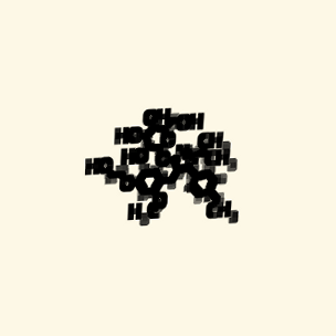 CCc1ccc(-c2c(Cc3ccc(OCCO)cc3OC)c(O[C@@H]3O[C@H](CO)[C@@H](O)[C@H](O)[C@H]3O)nn2C(C)C)cc1